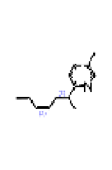 C=C/C=C\C=C(/C)c1ccc(C)cn1